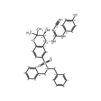 CC1(C)Oc2ccc(S(=O)(=O)N(Cc3ccccc3)Cc3ccccc3)cc2[C@@H](NC(=NC#N)Nc2ccc(Cl)cc2)[C@@H]1O